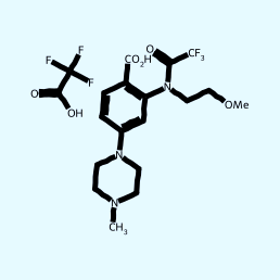 COCCN(C(=O)C(F)(F)F)c1cc(N2CCN(C)CC2)ccc1C(=O)O.O=C(O)C(F)(F)F